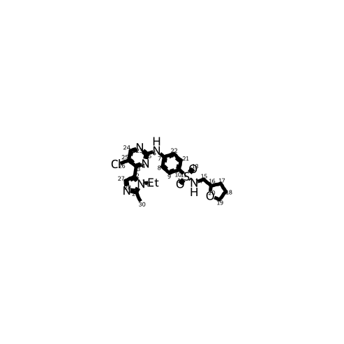 CCn1c(-c2nc(Nc3ccc(S(=O)(=O)NCC4CCCO4)cc3)ncc2Cl)cnc1C